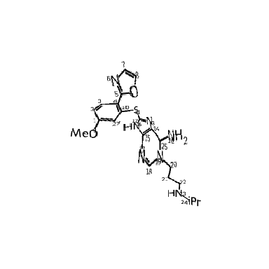 COc1ccc(-c2ncco2)c(Sc2nc3c([nH]2)N=CN(CCCNC(C)C)C3N)c1